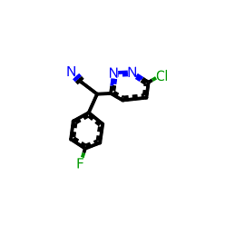 N#CC(c1ccc(F)cc1)c1ccc(Cl)nn1